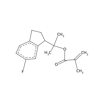 C=C(C)C(=O)OC(C)(C)C1CCc2ccc(F)cc21